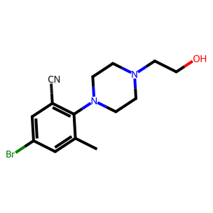 Cc1cc(Br)cc(C#N)c1N1CCN(CCO)CC1